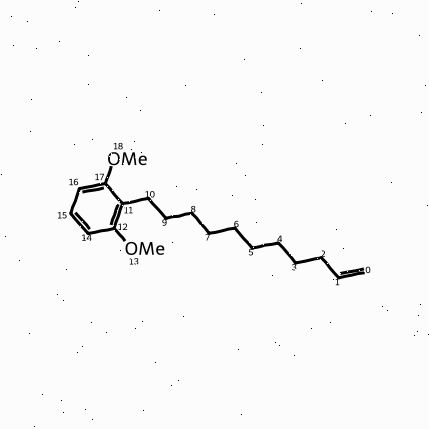 C=CCCCCCCCCCc1c(OC)cccc1OC